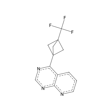 FC(F)(F)C12CC(c3ncnc4ncccc34)(C1)C2